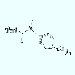 CCCCCC(=O)N(C)c1ccc(C(=O)O)cc1